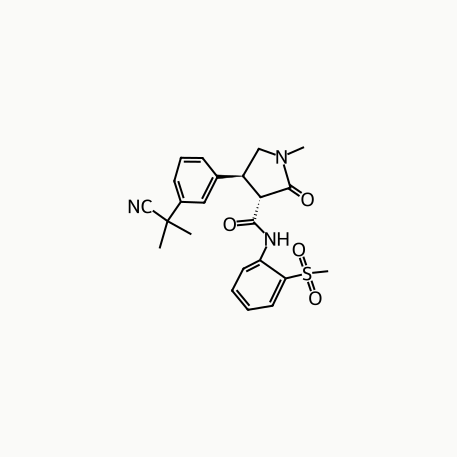 CN1C[C@H](c2cccc(C(C)(C)C#N)c2)[C@@H](C(=O)Nc2ccccc2S(C)(=O)=O)C1=O